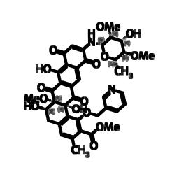 COC(=O)c1c(C)cc2c(c1OCc1cccnc1)[C@]1(O)C(=O)c3cc4c(c(O)c3C(=O)[C@]1(OC)[C@H](O)C2)C(=O)C=C(N[C@H]1O[C@@H](C)[C@H](OC)[C@@H](O)[C@H]1OC)C4=O